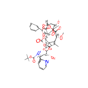 CO[C@H]1C(=O)C2[C@@H](OC)C[C@H]3OC[C@@]3(OC(C)=O)[C@H]2[C@H](OC(=O)c2ccccc2)[C@]23OC(=O)O[C@H]2[C@H](OC(=O)[C@H](O)[C@@H](NC(=O)OC(C)(C)C)c2ccccn2)C(C)=C1C3(C)C